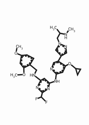 CNC(C)Cn1cc(-c2cnc(Nc3cc(NCc4ccc(OC)cc4OC)nc(C(F)F)n3)cc2OC2CC2)cn1